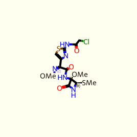 CO/N=C(\C(=O)N[C@]1(OC)C(=O)N[C@@H]1SC)c1csc(NC(=O)CCl)n1